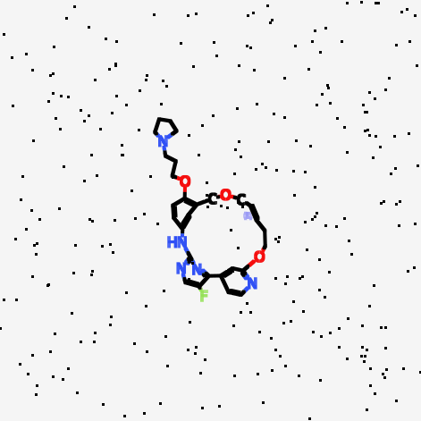 Fc1cnc2nc1-c1ccnc(c1)OCC/C=C/COCc1cc(ccc1OCCCN1CCCC1)N2